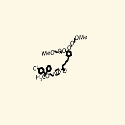 COCCOCOc1ccc(C=CC=CC(=O)N2CCN(CCOC(C)(c3ccccc3)c3ccc(Cl)cc3)CC2)cc1OCOCCOC